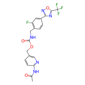 CC(=O)Nc1ccc(COC(=O)NCc2ccc(-c3noc(C(F)(F)F)n3)cc2F)cn1